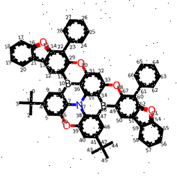 CC(C)(C)c1cc2c3c(c1)B1c4cc5c(oc6ccccc65)c(-c5ccccc5)c4Oc4cc5c6c(c41)N3c1c(cc(C(C)(C)C)cc1B6c1cc3c(oc4ccccc43)c(-c3ccccc3)c1O5)O2